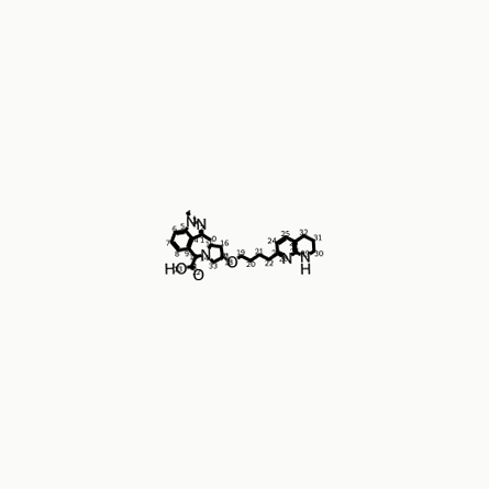 Cc1nn(C)c2cccc(C(C(=O)O)N3CC[C@@H](OCCCCc4ccc5c(n4)NCCC5)C3)c12